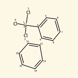 Cl[Si](Cl)(Cl)c1ccccc1.c1ccccc1